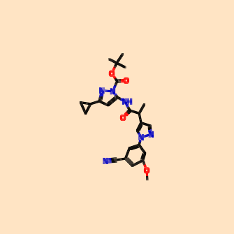 COc1cc(C#N)cc(-n2cc(C(C)C(=O)Nc3cc(C4CC4)nn3C(=O)OC(C)(C)C)cn2)c1